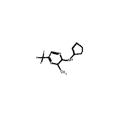 CC1N=C(C(F)(F)F)C=NC1NC1CCCC1